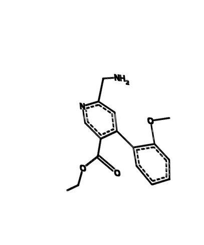 CCOC(=O)c1cnc(CN)cc1-c1ccccc1OC